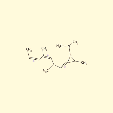 C/C=C\C(C)=C/C(C)/C=C1/C(C)P1N(C)C